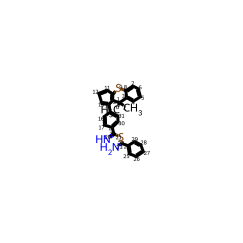 CC1(C)c2ccccc2Sc2cccc(-c3ccc(C(=N)SC(N)c4ccccc4)cc3)c21